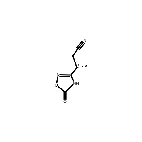 C[C@@H](CC#N)c1noc(=O)[nH]1